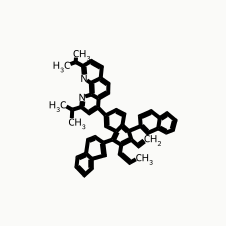 C=Cc1c(/C=C\C)c(-c2ccc3ccccc3c2)c2cc(-c3cc(C(C)C)nc4c3ccc3ccc(C(C)C)nc34)ccc2c1-c1ccc2ccccc2c1